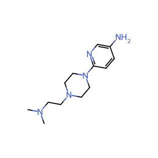 CN(C)CCN1CCN(c2ccc(N)cn2)CC1